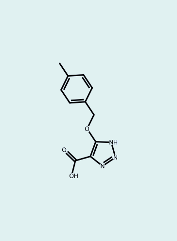 Cc1ccc(COc2[nH]nnc2C(=O)O)cc1